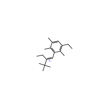 CC/C(=C\c1c(C)c(C)cc(CC)c1C)C(C)(C)C